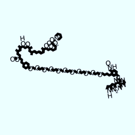 COC(CC1CC[C@@H](C)[C@@](C=O)(OC(=O)N2CCCCC2)O1)/C(C)=C/C=C/C=C/C(C)CC(C)C(=O)CC(O)/C(C)=C/C(C)CCC(CCC1CCC(OCCOCCOCCOCCOCCOCCOCCOCCOCCOCCOCCCCc2cc(Cn3nc(-c4cnc5[nH]ccc5c4)c4c(N)ncnc43)ccc2CNC=O)CC1)OC=O